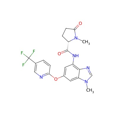 CN1C(=O)CC[C@H]1C(=O)Nc1cc(Oc2ccc(C(F)(F)F)cn2)cc2c1ncn2C